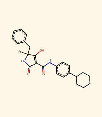 CC(C)C1(Cc2ccccc2)NC(=O)C(C(=O)Nc2ccc(C3CCCCC3)cc2)=C1O